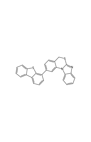 c1ccc2c(c1)nc1n2-c2cc(-c3cccc4c3sc3ccccc34)ccc2CS1